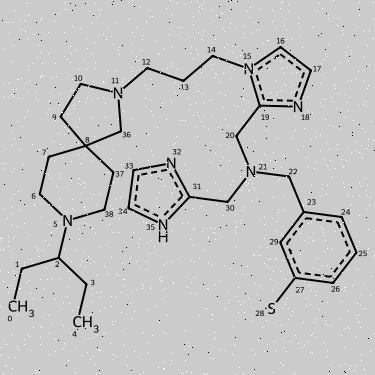 CCC(CC)N1CCC2(CCN(CCCn3ccnc3CN(Cc3cccc([S])c3)Cc3ncc[nH]3)C2)CC1